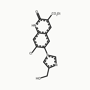 CCOC(=O)c1cc2cc(-n3cnc(CO)c3)c(Cl)cc2[nH]c1=O